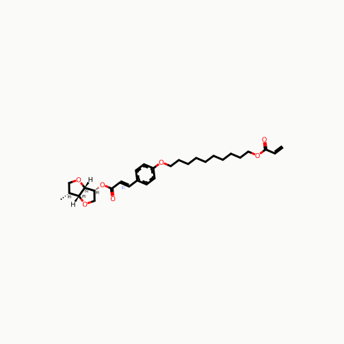 C=CC(=O)OCCCCCCCCCCOc1ccc(/C=C/C(=O)O[C@@H]2CO[C@H]3[C@@H]2OC[C@H]3C)cc1